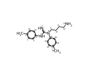 Cc1ccc(NC(=N)N(CCCCN)c2ccc(C)cc2)cc1